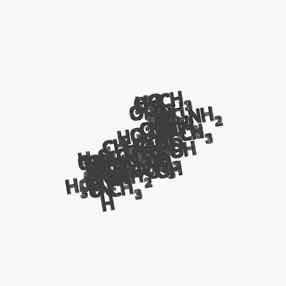 CCC(C)C(NC(=O)C(CCC(=O)O)NC(=O)C(CCC(=O)O)NC(=O)C(NC(=O)C(N)CCCCN)C(C)O)C(=O)NC(CO)C(=O)NC(CCC(=O)O)C(=O)NC(C(=O)NC(CC(N)=O)C(=O)NC(CC(C)C)C(O)CC(=O)NC(C(=O)NC(C)C(=O)NC(CCC(=O)O)C(=O)NC(Cc1ccccc1)C(=O)O)C(C)C)C(C)C